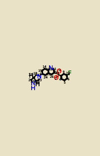 O=S(=O)(c1cccc(F)c1)c1cnc2ccc(N3C[C@H]4CN[C@@H]4C3)cc2c1